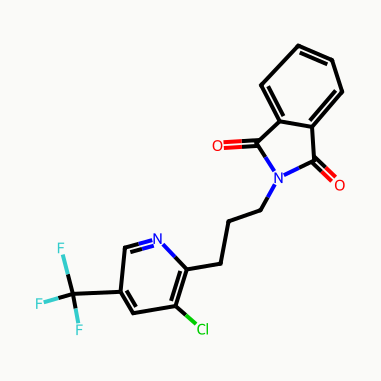 O=C1c2ccccc2C(=O)N1CCCc1ncc(C(F)(F)F)cc1Cl